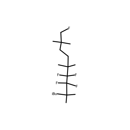 CCC(C)C(C)(C)C(F)(F)C(F)(F)C(C)(C)CCC(C)(C)CF